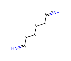 N=CCCCCC=N